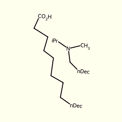 CCCCCCCCCCCCCCCCCC(=O)O.CCCCCCCCCCCN(C)C(C)C